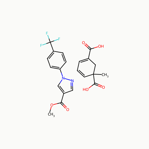 CC1(C(=O)O)C=CC=C(C(=O)O)C1.COC(=O)c1cnn(-c2ccc(C(F)(F)F)cc2)c1